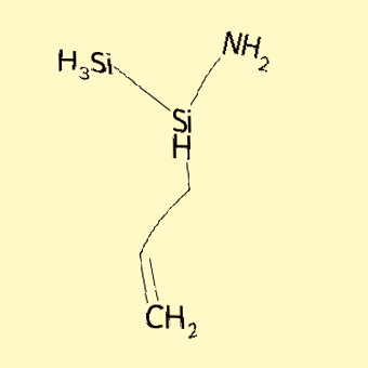 C=CC[SiH](N)[SiH3]